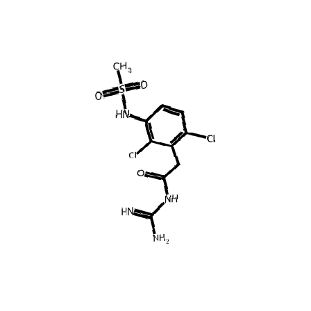 CS(=O)(=O)Nc1ccc(Cl)c(CC(=O)NC(=N)N)c1Cl